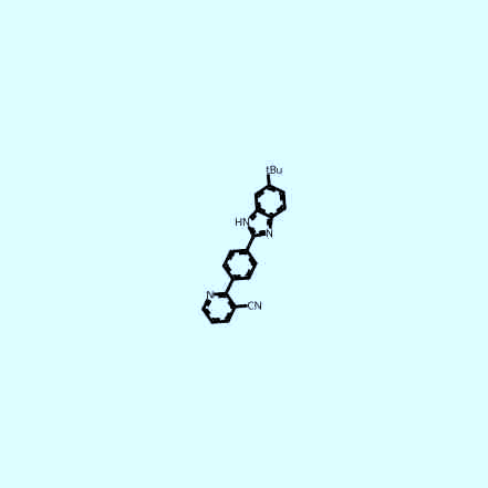 CC(C)(C)c1ccc2nc(-c3ccc(-c4ncccc4C#N)cc3)[nH]c2c1